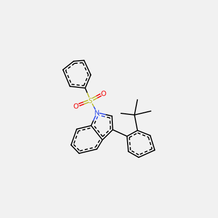 CC(C)(C)c1ccccc1-c1cn(S(=O)(=O)c2ccccc2)c2ccccc12